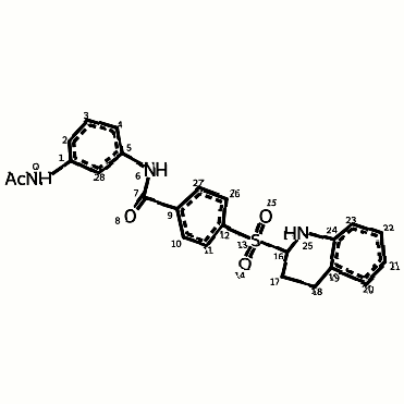 CC(=O)Nc1cccc(NC(=O)c2ccc(S(=O)(=O)C3CCc4ccccc4N3)cc2)c1